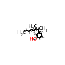 CCCCCC(C)C(C)c1cccc(O)c1